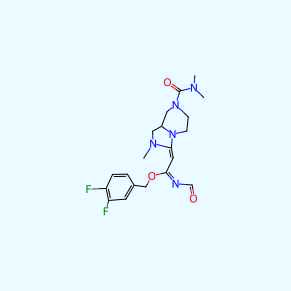 CN(C)C(=O)N1CCN2/C(=C/C(=N\C=O)OCc3ccc(F)c(F)c3)N(C)CC2C1